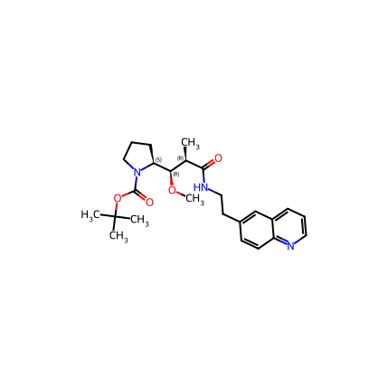 CO[C@H]([C@@H](C)C(=O)NCCc1ccc2ncccc2c1)[C@@H]1CCCN1C(=O)OC(C)(C)C